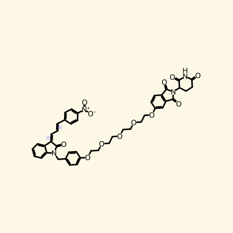 O=C1CCC(N2C(=O)c3ccc(OCCOCCOCCOCCOc4ccc(CN5C(=O)/C(=C\C=C\c6ccc([N+](=O)[O-])cc6)c6ccccc65)cc4)cc3C2=O)C(=O)N1